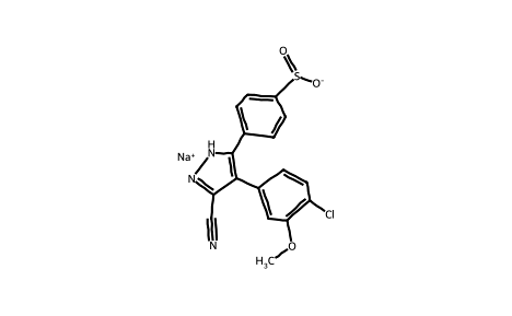 COc1cc(-c2c(C#N)n[nH]c2-c2ccc(S(=O)[O-])cc2)ccc1Cl.[Na+]